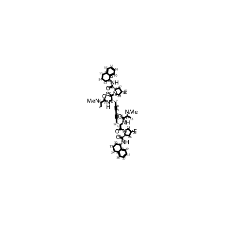 CN[C@@H](C)C(=O)N[C@@H](CC#CC#CC[C@H](NC(=O)[C@H](C)NC)C(=O)N1C[C@@H](F)C[C@H]1C(=O)N[C@@H]1CCCc2ccccc21)C(=O)N1C[C@@H](F)C[C@H]1C(=O)N[C@@H]1CCCc2ccccc21